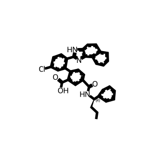 CCC[C@@H](NC(=O)c1ccc(-c2cc(Cl)ccc2-c2nc3c(ccc4ccccc43)[nH]2)c(C(=O)O)c1)c1ccccc1